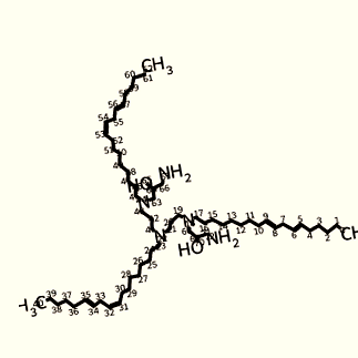 CCCCCC=CCC=CCCCCCCCCN(CCCN(CCCCCCCC/C=C\CC=CCCCCC)CCCN(CCCCCCCC/C=C\CC=CCCCCC)CC(O)CN)CC(O)CN